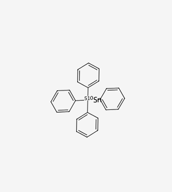 c1cc[c]([510Sn]([c]2ccccc2)([c]2ccccc2)[c]2ccccc2)cc1